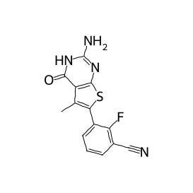 Cc1c(-c2cccc(C#N)c2F)sc2nc(N)[nH]c(=O)c12